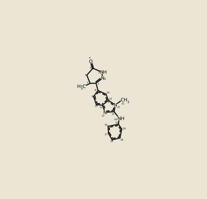 CC1CC(=O)NN=C1c1ccc2nc(Nc3ccccc3)n(C)c2c1